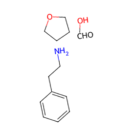 C1CCOC1.NCCc1ccccc1.O=CO